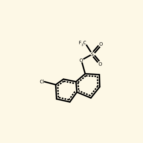 O=S(=O)(Oc1cccc2ccc(Cl)cc12)C(F)(F)F